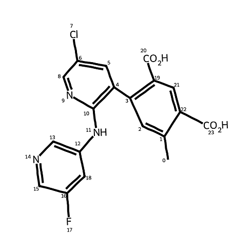 Cc1cc(-c2cc(Cl)cnc2Nc2cncc(F)c2)c(C(=O)O)cc1C(=O)O